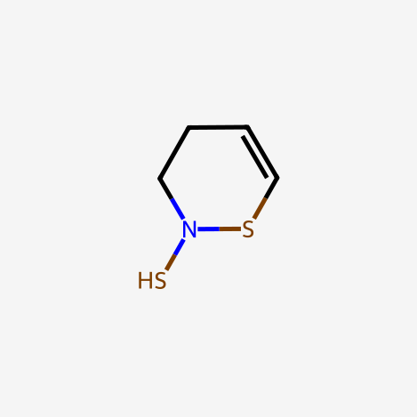 SN1CCC=CS1